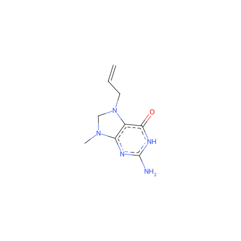 C=CCN1CN(C)c2nc(N)[nH]c(=O)c21